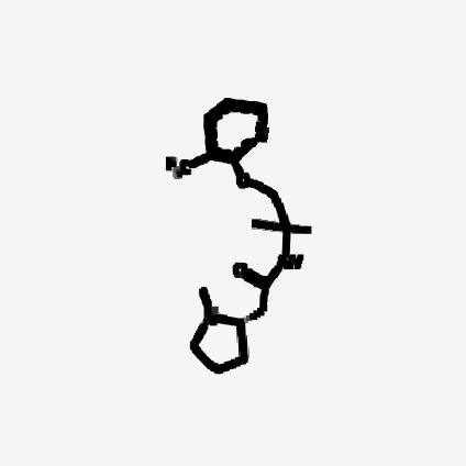 CN1CCC[C@H]1CC(=O)NC(C)(C)COc1ncccc1C(F)(F)F